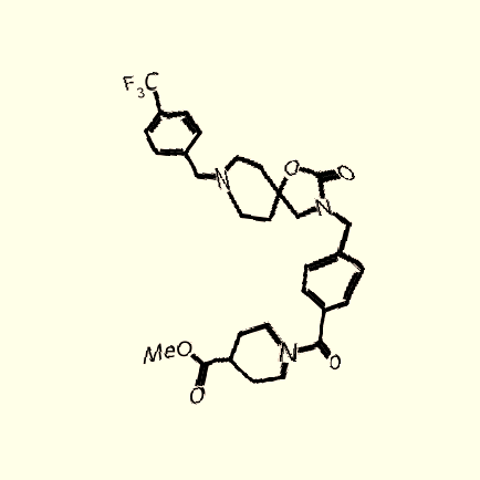 COC(=O)C1CCN(C(=O)c2ccc(CN3CC4(CCN(Cc5ccc(C(F)(F)F)cc5)CC4)OC3=O)cc2)CC1